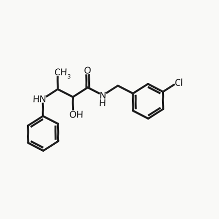 CC(Nc1ccccc1)C(O)C(=O)NCc1cccc(Cl)c1